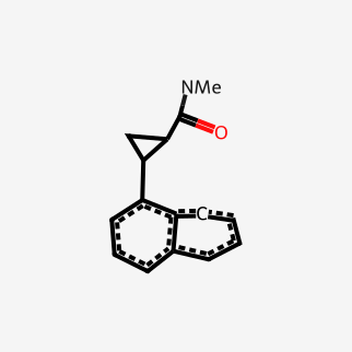 CNC(=O)C1CC1c1cccc2ccccc12